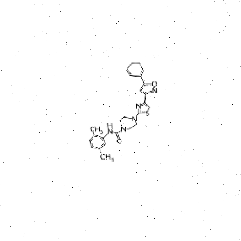 Cc1ccc(C)c(NC(=O)N2CCN(c3nc(-c4cc(C5=CCCC=C5)on4)cs3)CC2)c1